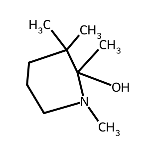 CN1CCCC(C)(C)C1(C)O